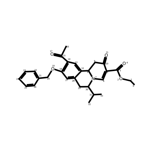 CCOC(=O)C1=CN2C(CC1=O)c1cc(C(C)=O)c(OCc3ccccc3)cc1CC2C(C)C